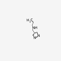 C=CCNCc1cncnc1